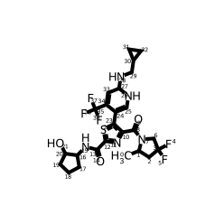 CC1CC(F)(F)CN1C(=O)c1nc(C(=O)NC2CCCC2O)sc1C1=CNC(NCC2CC2)C=C1C(F)(F)F